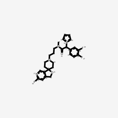 CN(CCCN1CCC2(CC1)OCc1cc(F)ncc12)C(=O)C(c1ccc(F)c(F)c1)n1cccc1